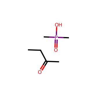 CCC(C)=O.CP(C)(=O)O